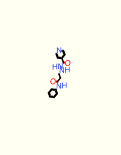 O=C(CCNNC(=O)c1ccncc1)Nc1ccccc1